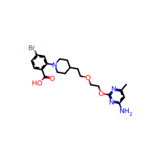 Cc1cc(N)nc(OCCOCCC2CCN(c3cc(Br)ccc3C(=O)O)CC2)n1